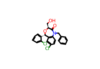 O=C1[C@H](CO)O[C@@H](c2ccccc2Cl)c2cc(Cl)ccc2N1Cc1ccccc1